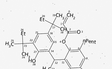 C=CC(=O)Oc1c(CCCCC)cccc1C(C)c1cc(C(C)(C)CC)cc(C(C)(C)CC)c1O